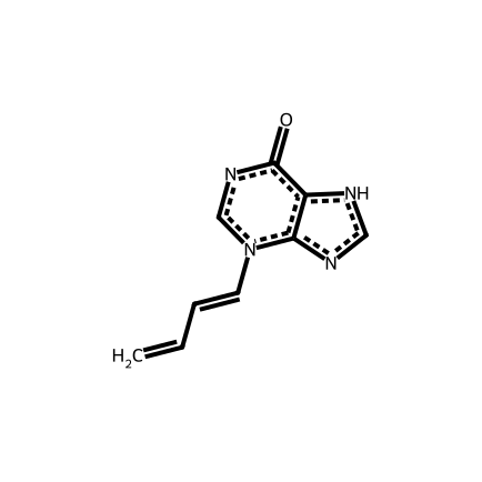 C=CC=Cn1cnc(=O)c2[nH]cnc21